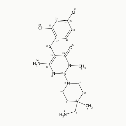 Cn1c(N2CCC(C)(CN)CC2)nc(N)c(Sc2ccc(Cl)cc2Cl)c1=O